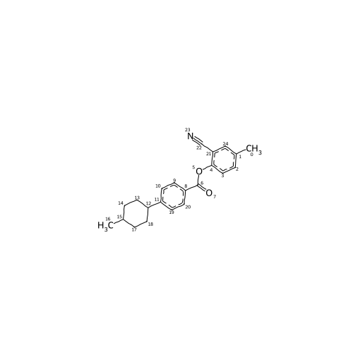 Cc1ccc(OC(=O)c2ccc(C3CCC(C)CC3)cc2)c(C#N)c1